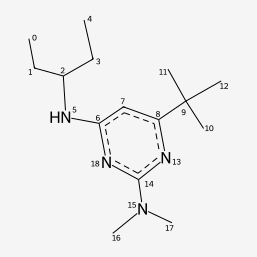 CCC(CC)Nc1cc(C(C)(C)C)nc(N(C)C)n1